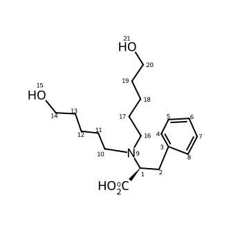 O=C(O)[C@H](Cc1ccccc1)N(CCCCCO)CCCCCO